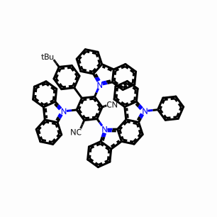 CC(C)(C)c1ccc(-c2c(-n3c4ccccc4c4ccccc43)c(C#N)c(-n3c4ccccc4c4ccc5c(c6ccccc6n5-c5ccccc5)c43)c(C#N)c2-n2c3ccccc3c3ccccc32)cc1